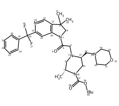 C[C@@H]1CN(CC(=O)N2CC(C)(C)c3cnc(C(F)(F)c4ccccc4)cc32)[C@@H](CN2CCOCC2)CN1C(=O)OC(C)(C)C